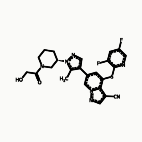 Cc1c(-c2cc(Sc3ncc(F)cc3F)c3c(C#N)cnn3c2)cnn1[C@H]1CCCN(C(=O)CO)C1